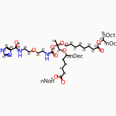 CCCCCCCCCCC(CCCCC(=O)OCCCCCCCCC)OCC(C)(OCCCCCCCC(=O)OC(CCCCCCCC)CCCCCCCC)OC(=O)NCCOCCNC(=O)c1c[nH]cn1